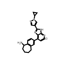 Cl.NC1CCCCc2cc(-c3ccnc4[nH]c(-c5cnn(C6CC6)c5)nc34)ccc21